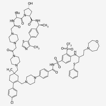 Cc1ncsc1-c1ccc([C@H](C)NC(=O)[C@@H]2C[C@@H](O)CN2C(=O)C(NC(=O)CN2CCN(CC(=O)N3CCN(CC4(C)CCC(c5ccc(Cl)cc5)=C(CN5CCN(c6ccc(C(=O)NS(=O)(=O)c7ccc(NC(CCN8CCCOCC8)CSc8ccccc8)c(S(=O)(=O)C(F)(F)F)c7)cc6)CC5)C4)CC3)CC2)C(C)(C)C)cc1